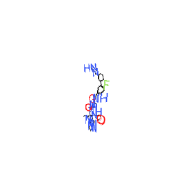 CCc1nc2c(cnn2CC)c(NC2CCOCC2)c1CNC(=O)c1cccc(C(=O)NCc2ccc(F)c(-c3cccc(CN4CCNCC4)c3)c2)n1